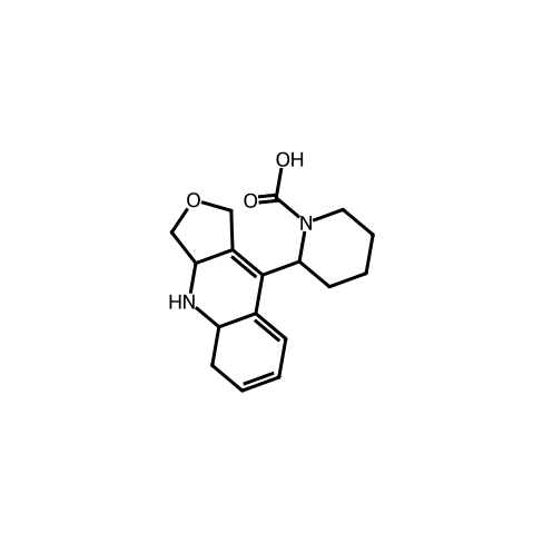 O=C(O)N1CCCCC1C1=C2COCC2NC2CC=CC=C12